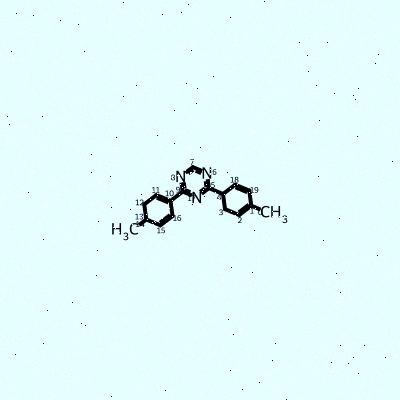 CC1=CCC(c2ncnc(C3=CCC(C)C=C3)n2)C=C1